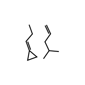 C=CCC(C)C.CCC=C1CC1